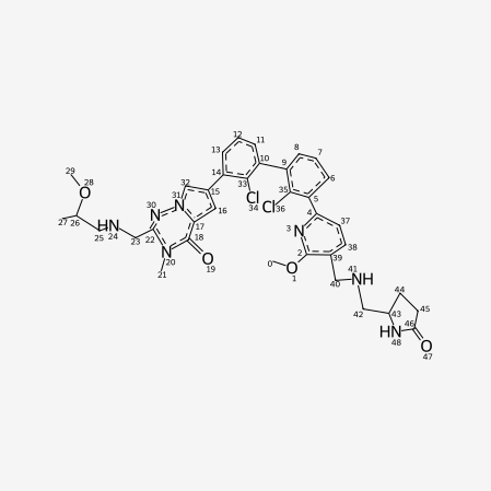 COc1nc(-c2cccc(-c3cccc(-c4cc5c(=O)n(C)c(CNCC(C)OC)nn5c4)c3Cl)c2Cl)ccc1CNCC1CCC(=O)N1